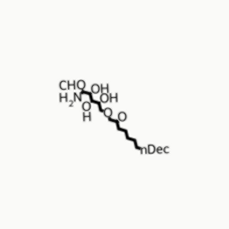 CCCCCCCCCCCCCCCC(=O)COC[C@@H](O)[C@H](O)[C@H](O)[C@@H](N)C=O